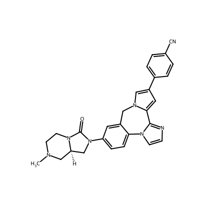 CN1CCN2C(=O)N(c3ccc4c(c3)Cn3cc(-c5ccc(C#N)cc5)cc3-c3nccn3-4)C[C@H]2C1